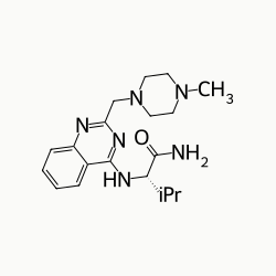 CC(C)[C@H](Nc1nc(CN2CCN(C)CC2)nc2ccccc12)C(N)=O